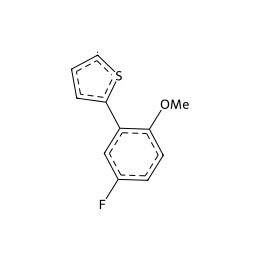 COc1ccc(F)cc1-c1cc[c]s1